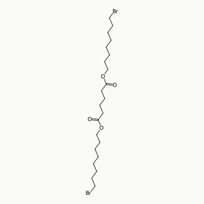 O=C(CCCCC(=O)OCCCCCCCCBr)OCCCCCCCCBr